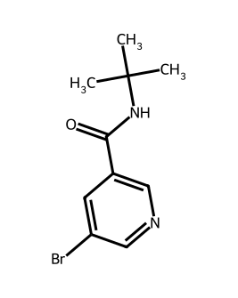 CC(C)(C)NC(=O)c1cncc(Br)c1